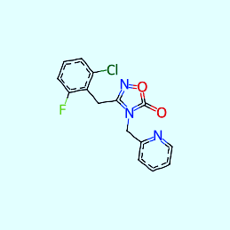 O=c1onc(Cc2c(F)cccc2Cl)n1Cc1ccccn1